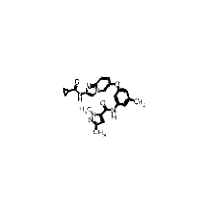 Cc1cc(NC(=O)c2cc(C)nn2C)cc(Oc2ccc3nc(NC(=O)C4CC4)cn3c2)c1